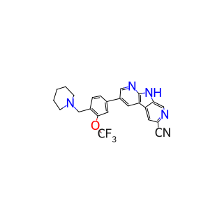 N#Cc1cc2c(cn1)[nH]c1ncc(-c3ccc(CN4CCCCC4)c(OC(F)(F)F)c3)cc12